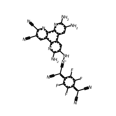 N#CC(C#N)=c1c(F)c(F)c(=C(C#N)C#[N+]Nc2cc3c4cc(N)c(N)nc4c4nc(C#N)c(C#N)cc4c3nc2N)c(F)c1F